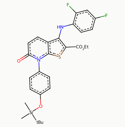 CCOC(=O)c1sc2c(ccc(=O)n2-c2ccc(O[Si](C)(C)C(C)(C)C)cc2)c1Nc1ccc(F)cc1F